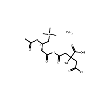 CC(=O)O[C@H](CC(=O)OC(=O)CC(O)(CC(=O)O)C(=O)O)C[N+](C)(C)C.[CaH2]